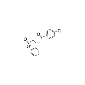 O=C(C[C@@H](C[N+](=O)[O-])c1ccccc1)c1ccc(Cl)cc1